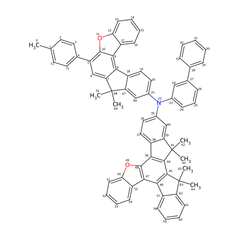 Cc1ccc(-c2cc3c(c4c2oc2ccccc24)-c2ccc(N(c4cccc(-c5ccccc5)c4)c4ccc5c(c4)C(C)(C)c4c6c(c7c(oc8ccccc87)c4-5)-c4ccccc4C6(C)C)cc2C3(C)C)cc1